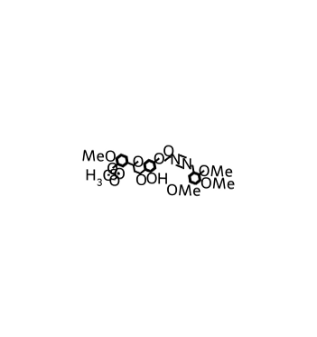 COc1ccc(C2CC(=O)c3c(O)cc(OCC(=O)N4CCN(Cc5ccc(OC)c(OC)c5OC)CC4)cc3O2)cc1OS(C)(=O)=O